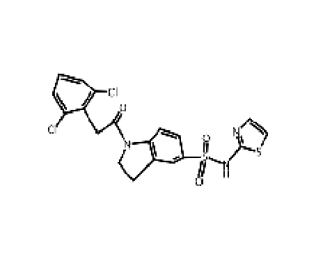 O=C(Cc1c(Cl)cccc1Cl)N1CCc2cc(S(=O)(=O)Nc3nccs3)ccc21